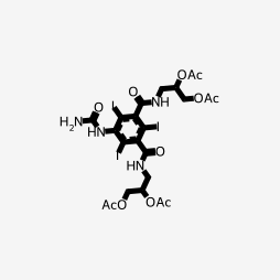 CC(=O)OCC(CNC(=O)c1c(I)c(NC(N)=O)c(I)c(C(=O)NCC(COC(C)=O)OC(C)=O)c1I)OC(C)=O